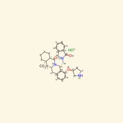 Cl.O=C(O)C1CCCCC1C(=O)N1CCc2cccc(O[C@H]3CCNC3)c2[C@H]1CN1Cc2ccccc2C1=O